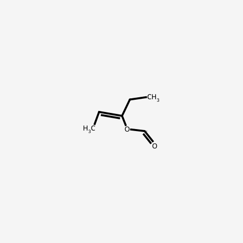 C/C=C(/CC)O[C]=O